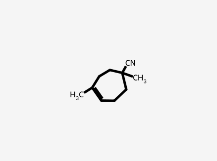 CC1=CCCC(C)(C#N)CC1